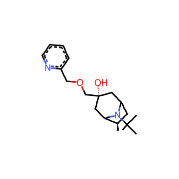 C[C@@H]1CC2C[C@](O)(COCc3ccccn3)CC1N2C(C)(C)C